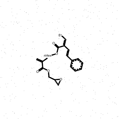 C=C(C)C(=O)OCC1CO1.CCC=C(C=Cc1ccccc1)C(=O)OCCCCCC